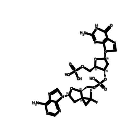 Nc1nc2c(ncn2[C@H]2C[C@H](OP(=O)(O)OC[C@H]3O[C@@H](n4cnc5c(N)ncnc54)C[C@@]34CC4(F)F)[C@@H](COP(=O)(O)O)O2)c(=O)[nH]1